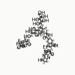 CCn1c(CNC(=O)c2nc3cc[nH]c3nc2N)[n+](CC)c2ccc(C(=O)N[C@H]3CC[C@H](N(C[C@H](O)[C@@H](O)[C@H](O)[C@H](O)CO)C[C@H](O)[C@@H](O)[C@H](O)[C@H](O)CO)CC3)cc21.O=C(O)C(F)(F)F.O=C([O-])C(F)(F)F